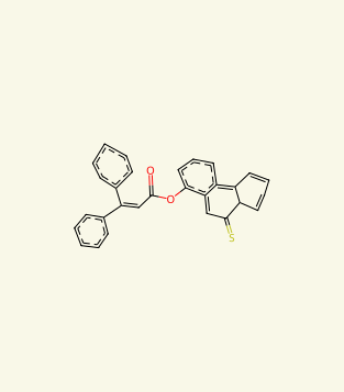 O=C(C=C(c1ccccc1)c1ccccc1)Oc1cccc2c1=CC(=S)C1C=CC=CC=21